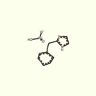 O=[N+]([O-])O.c1ccc(Cc2ncc[nH]2)cc1